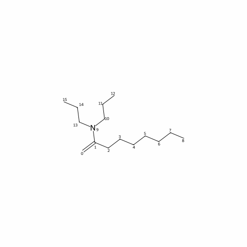 C=C(CCCCCCC)N(CCC)CCC